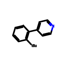 CC(C)(C)c1ccc[c]c1-c1ccncc1